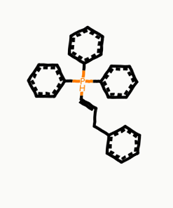 C(=C[PH](c1ccccc1)(c1ccccc1)c1ccccc1)Cc1ccccc1